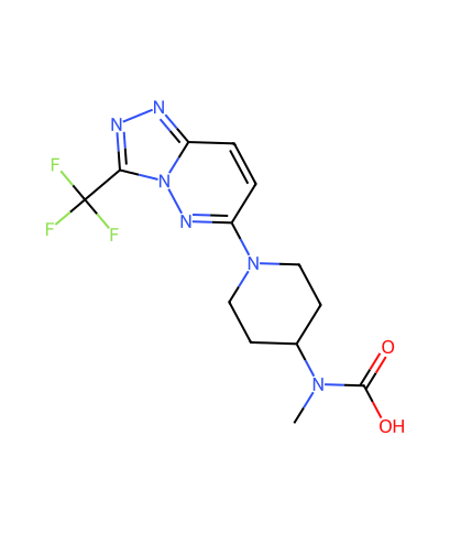 CN(C(=O)O)C1CCN(c2ccc3nnc(C(F)(F)F)n3n2)CC1